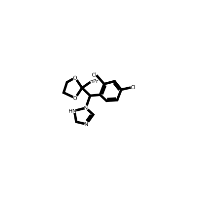 CCCC1(C(c2ccc(Cl)cc2Cl)N2C=NCN2)OCCO1